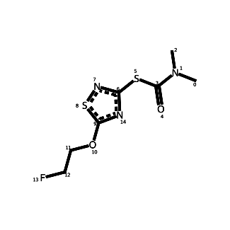 CN(C)C(=O)Sc1nsc(OCCF)n1